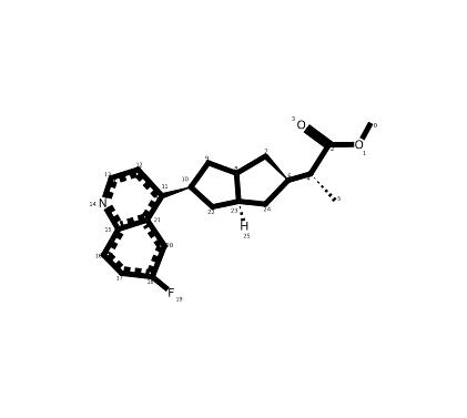 COC(=O)[C@H](C)[C@@H]1CC2C[C@H](c3ccnc4ccc(F)cc34)C[C@@H]2C1